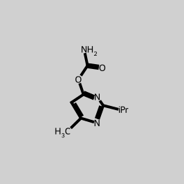 Cc1cc(OC(N)=O)nc(C(C)C)n1